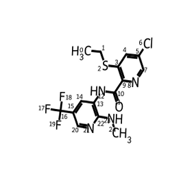 CCSc1cc(Cl)cnc1C(=O)Nc1cc(C(F)(F)F)cnc1NC